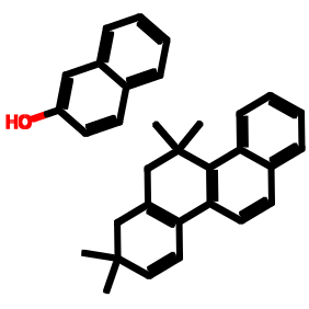 CC1(C)C=CC2=C(C1)CC(C)(C)c1c2ccc2ccccc12.Oc1ccc2ccccc2c1